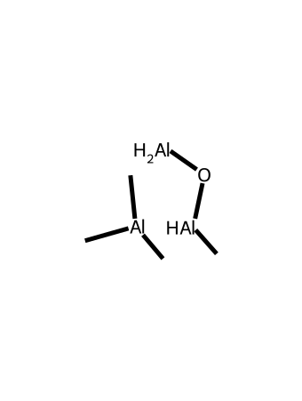 [CH3][AlH][O][AlH2].[CH3][Al]([CH3])[CH3]